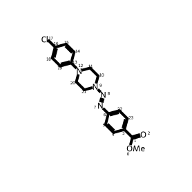 COC(=O)c1ccc(N=NN2CCN(c3ccc(Cl)cc3)CC2)cc1